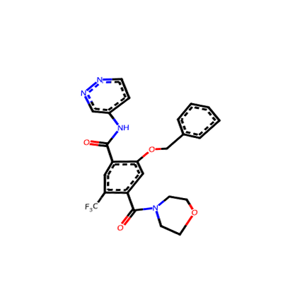 O=C(Nc1ccnnc1)c1cc(C(F)(F)F)c(C(=O)N2CCOCC2)cc1OCc1ccccc1